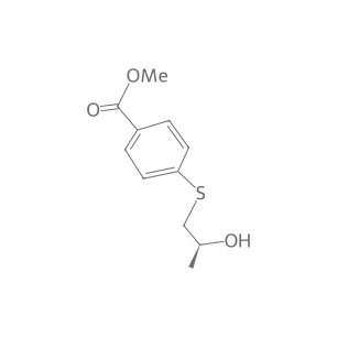 COC(=O)c1ccc(SC[C@H](C)O)cc1